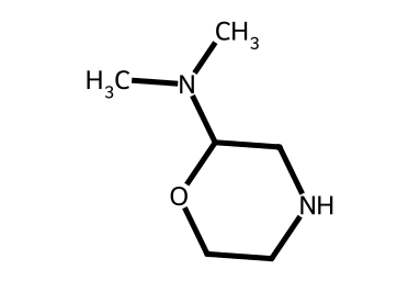 CN(C)C1CNCCO1